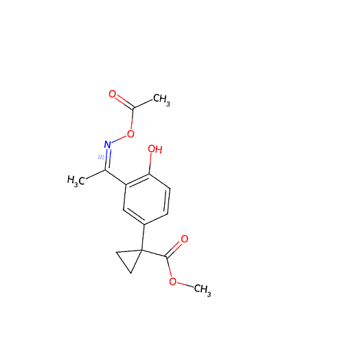 COC(=O)C1(c2ccc(O)c(/C(C)=N\OC(C)=O)c2)CC1